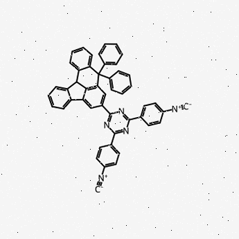 [C-]#[N+]c1ccc(-c2nc(-c3ccc([N+]#[C-])cc3)nc(-c3cc4c5c(c3)C(c3ccccc3)(c3ccccc3)c3ccccc3C5c3ccccc3-4)n2)cc1